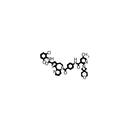 Cc1cnc(N2CC3(CCOCC3)C2)c(C(=O)Nc2ccc(C(=O)N3CCc4cc(C(=O)Nc5c(Cl)cccc5Cl)sc4-c4ncccc43)cc2)c1